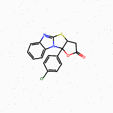 O=C1CC2Sc3nc4ccccc4n3C2(c2ccc(Cl)cc2)O1